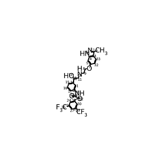 Cc1n[nH]c2cc(OCCNC[C@H](O)c3cccc(NS(=O)(=O)c4cc(C(F)(F)F)cc(C(F)(F)F)c4)c3)ccc12